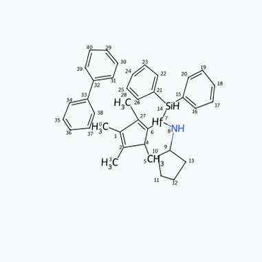 CC1=C(C)C(C)[C]([Hf]([NH]C2CCCC2)[SiH](c2ccccc2)c2ccccc2)=C1C.c1ccc(-c2ccccc2)cc1